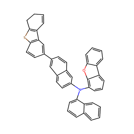 C1=Cc2c(sc3ccc(-c4ccc5cc(N(c6cccc7ccccc67)c6cccc7c6oc6ccccc67)ccc5c4)cc23)CC1